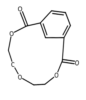 O=C1OCCOCCOC(=O)c2cccc1c2